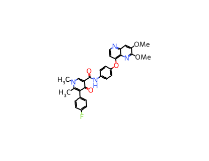 COc1cc2nccc(Oc3ccc(NC(=O)c4cn(C)c(C)c(-c5ccc(F)cc5)c4=O)cc3)c2nc1OC